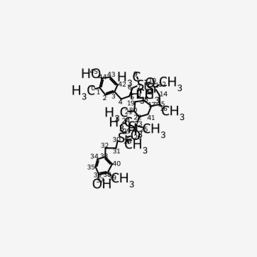 Cc1cc(CCC[Si](C)(C)O[Si](C)(C)CC(C)C2CCC(C)C([Si](C)(C)O[Si](C)(C)CCCc3ccc(O)c(C)c3)C2)ccc1O